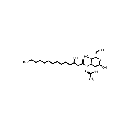 CCCCCCCCCCCC(O)CC(=O)O[C@H]1[C@H](O)[C@@H](CO)OC(O)[C@@H]1NC(C)=O